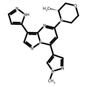 C[C@@H]1COCCN1c1cc(-c2cnn(C)c2)n2ncc(-c3ccn[nH]3)c2n1